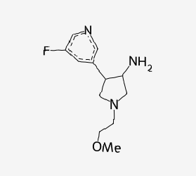 COCCN1CC(N)C(c2cncc(F)c2)C1